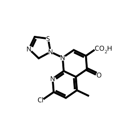 Cc1cc(Cl)nc2c1c(=O)c(C(=O)O)cn2N1CN=CS1